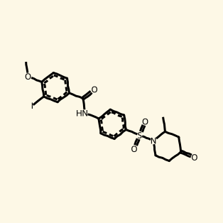 COc1ccc(C(=O)Nc2ccc(S(=O)(=O)N3CCC(=O)CC3C)cc2)cc1I